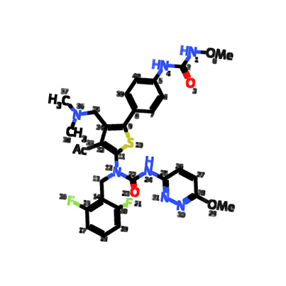 CONC(=O)Nc1ccc(-c2sc(N(Cc3c(F)cccc3F)C(=O)Nc3ccc(OC)nn3)c(C(C)=O)c2CN(C)C)cc1